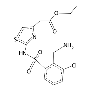 CCOC(=O)Cc1csc(NS(=O)(=O)c2cccc(Cl)c2CN)n1